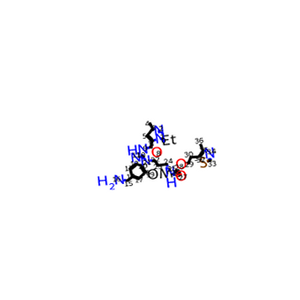 CCn1nc(C)cc1C(=O)Nc1nc2cc(CN)cc(OC)c2n1CCCNC(=O)OCCc1scnc1C